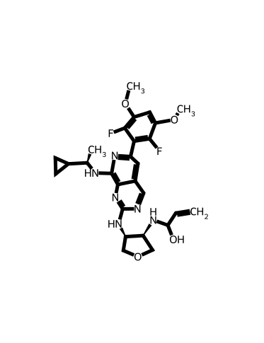 C=CC(O)N[C@H]1COC[C@H]1Nc1ncc2cc(-c3c(F)c(OC)cc(OC)c3F)nc(N[C@H](C)C3CC3)c2n1